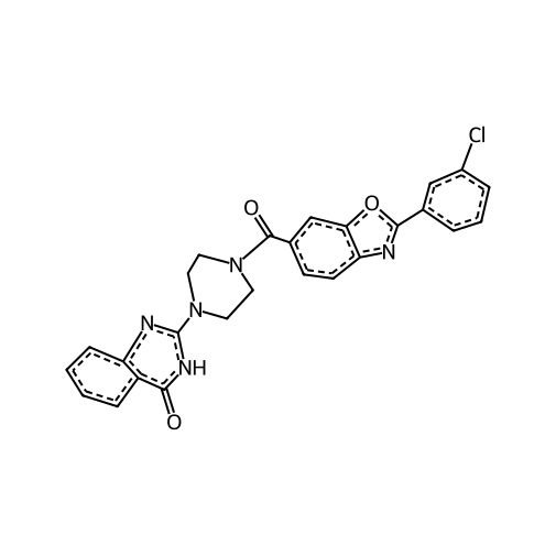 O=C(c1ccc2nc(-c3cccc(Cl)c3)oc2c1)N1CCN(c2nc3ccccc3c(=O)[nH]2)CC1